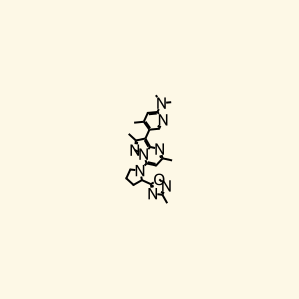 Cc1cc(N2CCCC2c2nc(C)no2)n2nc(C)c(-c3cnc(N(C)C)cc3C)c2n1